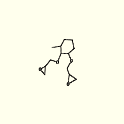 CC1CCCC(OCC2CO2)C1OCC1CO1